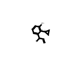 [CH2]C(C=C)c1cccc(F)c1C1CC1